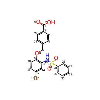 O=C(O)c1ccc(COc2ccc(Br)cc2NS(=O)(=O)c2ccccc2)cc1